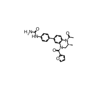 CC(=O)N1c2ccc(-c3ccc(NC(N)=O)cc3)cc2N(C(=O)c2ccco2)C[C@@H]1C